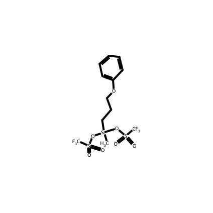 C[Si](CCCOc1ccccc1)(OS(=O)(=O)C(F)(F)F)OS(=O)(=O)C(F)(F)F